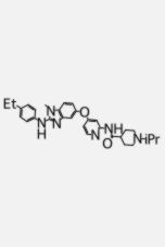 CCc1ccc(Nc2nc3cc(Oc4ccnc(NC(=O)C5CCN(C(C)C)CC5)c4)ccc3n2C)cc1